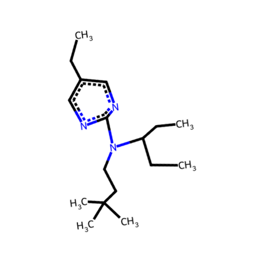 CCc1cnc(N(CCC(C)(C)C)C(CC)CC)nc1